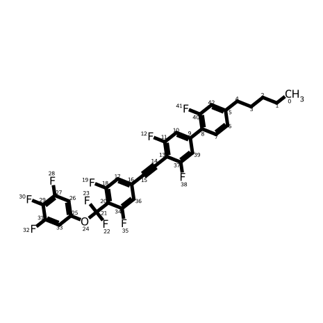 CCCCCc1ccc(-c2cc(F)c(C#Cc3cc(F)c(C(F)(F)Oc4cc(F)c(F)c(F)c4)c(F)c3)c(F)c2)c(F)c1